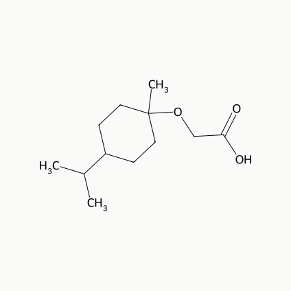 CC(C)C1CCC(C)(OCC(=O)O)CC1